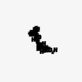 CC(=O)N[C@@H](CCCCNC(=O)OCC1c2ccccc2-c2ccccc21)C(=O)NNC(=O)C(C)(C)C(=O)O